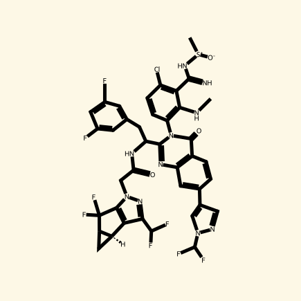 CNc1c(-n2c(C(Cc3cc(F)cc(F)c3)NC(=O)Cn3nc(C(F)F)c4c3C(F)(F)C3C[C@H]43)nc3cc(-c4cnn(C(F)F)c4)ccc3c2=O)ccc(Cl)c1C(=N)N[S+](C)[O-]